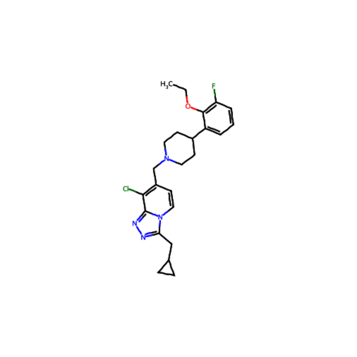 CCOc1c(F)cccc1C1CCN(Cc2ccn3c(CC4CC4)nnc3c2Cl)CC1